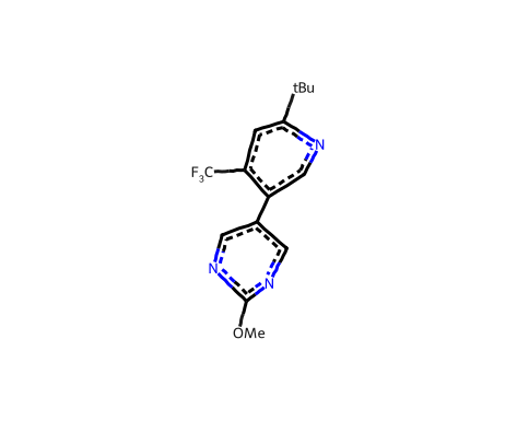 COc1ncc(-c2cnc(C(C)(C)C)cc2C(F)(F)F)cn1